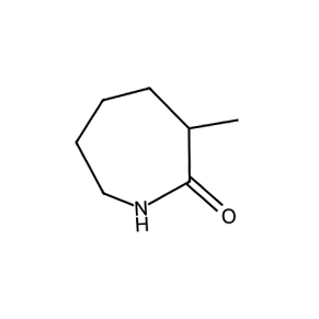 CC1CCCCNC1=O